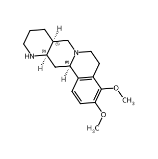 COc1ccc2c(c1OC)CCN1C[C@@H]3CCCN[C@@H]3C[C@H]21